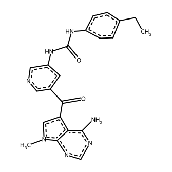 CCc1ccc(NC(=O)Nc2cncc(C(=O)c3cn(C)c4ncnc(N)c34)c2)cc1